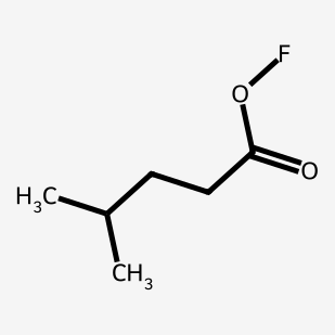 CC(C)CCC(=O)OF